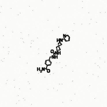 NC(=O)c1ccc(CNC(=O)NC2CC3(C2)CC(Nc2ccccn2)C3)cc1